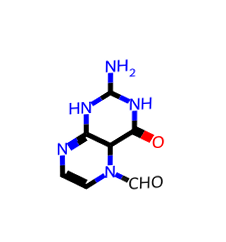 NC1NC(=O)C2C(=NC=CN2C=O)N1